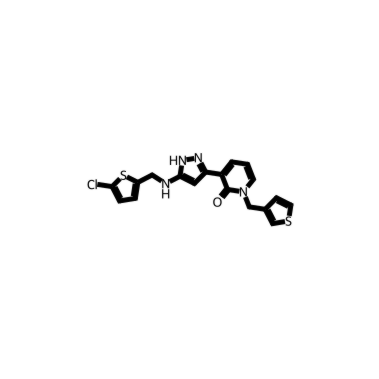 O=c1c(-c2cc(NCc3ccc(Cl)s3)[nH]n2)cccn1Cc1ccsc1